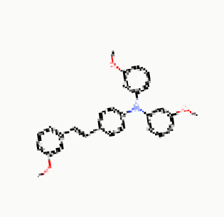 COc1cccc(C=Cc2ccc(N(c3cccc(OC)c3)c3cccc(OC)c3)cc2)c1